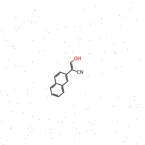 N#C/C(=C\O)c1ccc2ccccc2c1